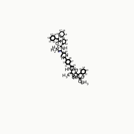 C=C(N/C(=C\N)c1cnc(-c2ccc(-c3cnc([C@H](C)N(C)C(=O)[C@H](NC(=O)OC)c4ccccc4)[nH]3)cc2)nc1)[C@@H]1CCCN1C(=O)[C@@H](c1ccccc1)N1CCCCC1